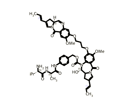 C/C=C/C1=CN2C(=O)c3cc(OC)c(OCCCOc4cc5c(cc4OC)C(=O)N4C=C(/C=C/C)C[C@H]4C=N5)cc3N(C(=O)OCc3ccc(NC(=O)[C@H](C)NC(=O)[C@@H](N)C(C)C)cc3)[C@@H](O)C2C1